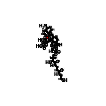 CC(C)(COP(=O)(O)OP(=O)(O)OC[C@H]1O[C@@H](N2CN=C3C(N)=NC=NC32c2cc3ccc(O)cc3oc2=O)[C@H](O)[C@@H]1OP(=O)(O)O)[C@@H](O)C(=O)NCCC(=O)NCCS